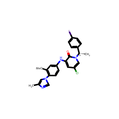 COc1cc(Nc2cc(Cl)cn([C@@H](C)c3ccc(I)cc3)c2=O)ccc1-n1cnc(C)c1